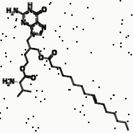 CCCCCCC=CCCCCCCCC(=O)OCC(CCOC(=O)[C@@H](N)C(C)C)Cn1cnc2c(=O)[nH]c(N)nc21